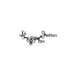 CCCCCCCCCC(=O)OCC(O)COP(=O)(OC)OCC[N+](C)(C)C